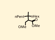 CCCCCCC(C)(CCCCC)C(COC)C(=O)OC